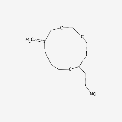 C=C1CCCCCCC(CCN=O)CCCC1